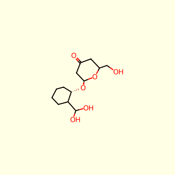 O=C1CC(CO)O[C@@H](O[C@H]2CCCCC2C(O)O)C1